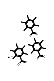 Cc1c(C)c(C)c(C(=O)[O-])c(C)c1C.Cc1c(C)c(C)c(C(=O)[O-])c(C)c1C.Cc1c(C)c(C)c(C(=O)[O-])c(C)c1C.[Al+3]